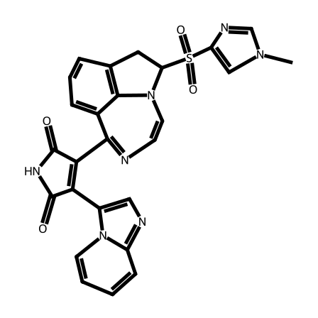 Cn1cnc(S(=O)(=O)C2Cc3cccc4c3N2C=CN=C4C2=C(c3cnc4ccccn34)C(=O)NC2=O)c1